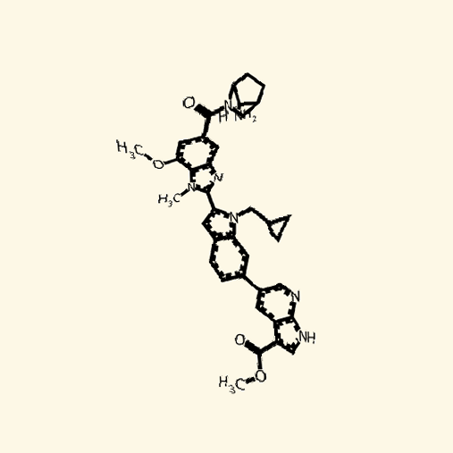 COC(=O)c1c[nH]c2ncc(-c3ccc4cc(-c5nc6cc(C(=O)N7CC8CCC7[C@@H]8N)cc(OC)c6n5C)n(CC5CC5)c4c3)cc12